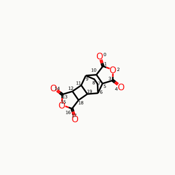 O=C1OC(=O)C2C3CCC(C12)C1C2C(=O)OC(=O)C2C31